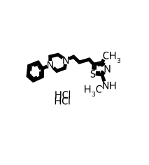 CNc1nc(C)c(CCCN2CCN(c3ccccc3)CC2)s1.Cl.Cl